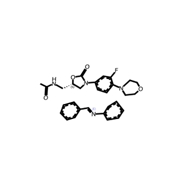 C(=N\c1ccccc1)/c1ccccc1.CC(=O)NC[C@H]1CN(c2ccc(N3CCOCC3)c(F)c2)C(=O)O1